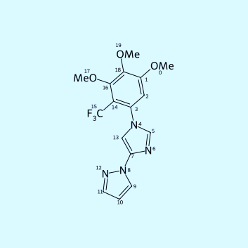 COc1cc(-n2cnc(-n3cccn3)c2)c(C(F)(F)F)c(OC)c1OC